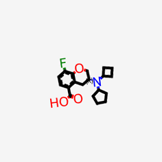 O=C(O)c1ccc(F)c2c1C[C@@H](N(C1CCCC1)C1CCC1)CO2